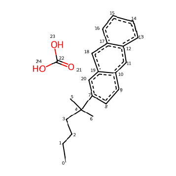 CCCCC(C)(C)c1ccc2cc3ccccc3cc2c1.O=C(O)O